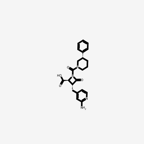 Nc1cc(C[C@H]2C(=O)N(C(=O)N3CCC[C@@H](c4ccccc4)C3)[C@@H]2C(=O)O)ccn1